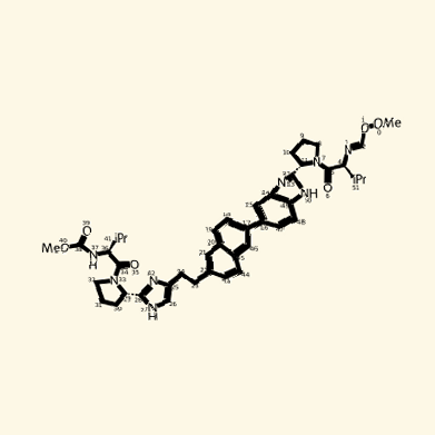 COO/C=N/[C@H](C(=O)N1CCC[C@H]1c1nc2cc(-c3ccc4cc(CCc5c[nH]c([C@@H]6CCCN6C(=O)[C@@H](NC(=O)OC)C(C)C)n5)ccc4c3)ccc2[nH]1)C(C)C